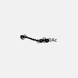 CC(=O)Oc1ccc(OC(=O)c2ccc(OCCCCCCCCCCCCOC3CCCCO3)cc2)c(C)c1